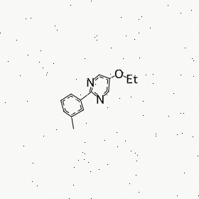 CCOc1cnc(-c2cccc(C)c2)nc1